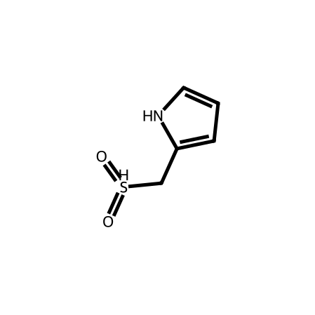 O=[SH](=O)Cc1ccc[nH]1